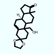 CC12CCC3[C@@H](CC=C4CC5(CCC43CO)OCCO5)C1CCC2=O